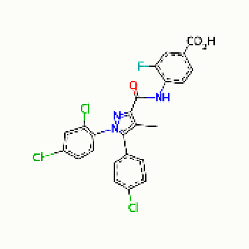 Cc1c(C(=O)Nc2ccc(C(=O)O)cc2F)nn(-c2ccc(Cl)cc2Cl)c1-c1ccc(Cl)cc1